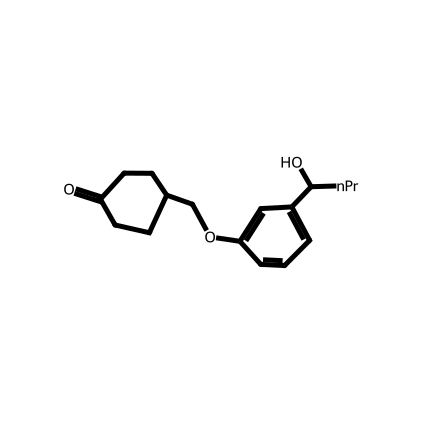 CCCC(O)c1cccc(OCC2CCC(=O)CC2)c1